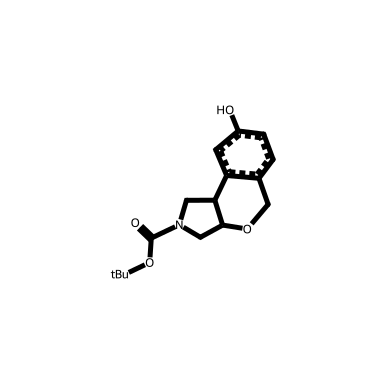 CC(C)(C)OC(=O)N1CC2OCc3ccc(O)cc3C2C1